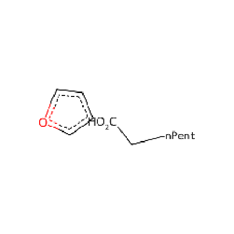 CCCCCCC(=O)O.c1ccoc1